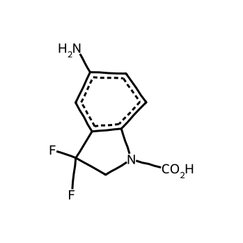 Nc1ccc2c(c1)C(F)(F)CN2C(=O)O